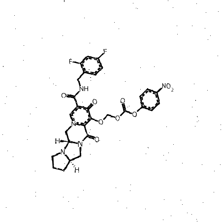 O=C(OCOc1c2n(cc(C(=O)NCc3ccc(F)cc3F)c1=O)C[C@@H]1N(C[C@H]3CCCN31)C2=O)Oc1ccc([N+](=O)[O-])cc1